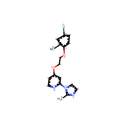 Cc1nccn1-c1cc(OCCOc2ccc(Cl)cc2C#N)ccn1